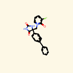 O=C1NC(=O)C(Cn2cccc(F)c2=O)(c2ccc(-c3ccccc3)cc2)N1